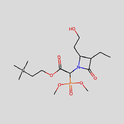 CCC1C(=O)N(C(C(=O)OCC[Si](C)(C)C)P(=O)(OC)OC)C1CCO